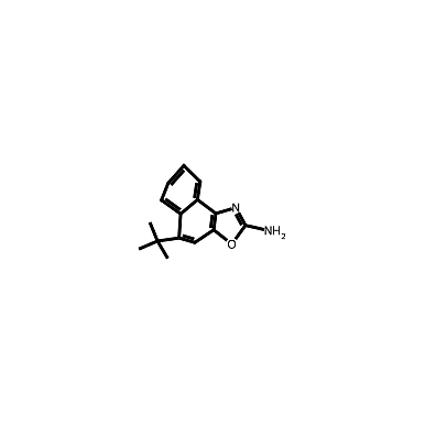 CC(C)(C)c1cc2oc(N)nc2c2ccccc12